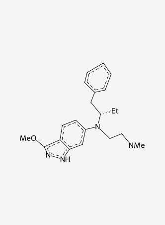 CC[C@@H](Cc1ccccc1)N(CCNC)c1ccc2c(OC)n[nH]c2c1